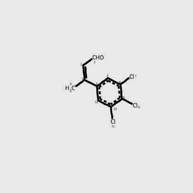 C/C(=C/C=O)c1cc(Cl)c(Cl)c(Cl)c1